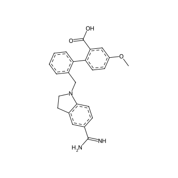 COc1ccc(-c2ccccc2CN2CCc3cc(C(=N)N)ccc32)c(C(=O)O)c1